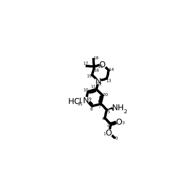 COC(=O)C[C@H](N)c1cncc(N2CCOC(C)(C)C2)c1.Cl